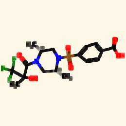 C[C@@H]1CN(S(=O)(=O)c2ccc(C(=O)O)cc2)[C@H](C)CN1C(=O)C(C)(O)C(F)(F)F